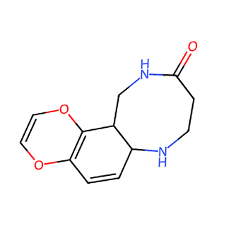 O=C1CCNC2C=CC3=C(OC=CO3)C2CN1